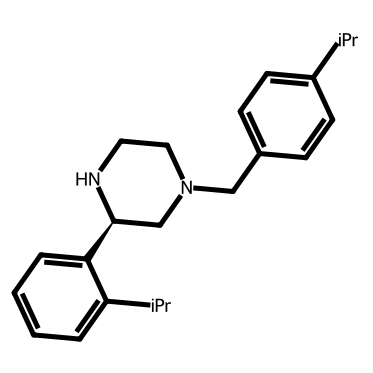 CC(C)c1ccc(CN2CCN[C@H](c3ccccc3C(C)C)C2)cc1